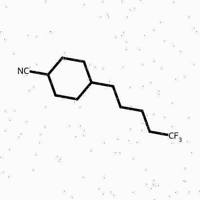 N#CC1CCC(CCCCC(F)(F)F)CC1